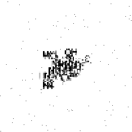 Cl.Cl.Cn1cc(Nc2nc(N)nc(-c3cccc(-n4ccc5cc(C6CC6)cc(F)c5c4=O)c3COC(=O)C(N)CC(=O)O)n2)cn1